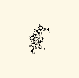 C=CC(=O)N1CCCC[C@@H](n2c(NC(=O)c3cccc(C)c3)nc3cccc(OC4CCN(C5CC5)CC4)c32)C1